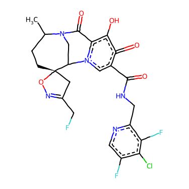 CC1CC[C@]2(CC(CF)=NO2)C2CN1C(=O)c1c(O)c(=O)c(C(=O)NCc3ncc(F)c(Cl)c3F)cn12